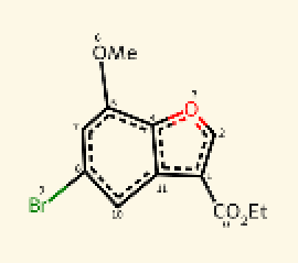 CCOC(=O)c1coc2c(OC)cc(Br)cc12